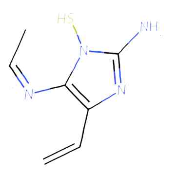 C=Cc1nc(N)n(S)c1/N=C\C